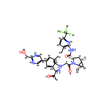 CC(=O)c1nn(CC(=O)N2[C@H](C(=O)Nc3nc(C(F)(F)F)ccc3C)C[C@@]3(C)C[C@@H]23)c2c(C)cc(-c3cnc(CO)nc3)cc12